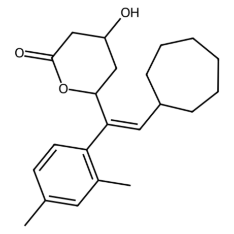 Cc1ccc(C(=CC2CCCCCC2)C2CC(O)CC(=O)O2)c(C)c1